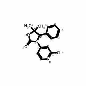 CC1(C)OC(=O)N(c2ccnc(Cl)c2)C1c1ccccc1